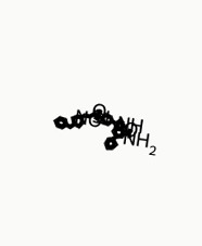 NC(=O)c1cc(-c2ccccc2)cc2c(C3CCN(S(=O)(=O)CCCN4CCC(Cc5ccccc5)CC4)CC3)c[nH]c12